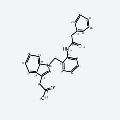 O=C(O)Cc1cn(Cc2ccccc2NC(=O)Cc2ccccc2)c2ccccc12